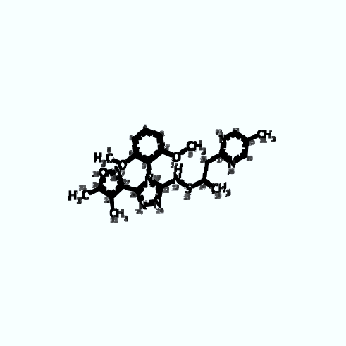 COc1cccc(OC)c1-n1c(NSC(C)Cc2ncc(C)cn2)nnc1-c1noc(C)c1C